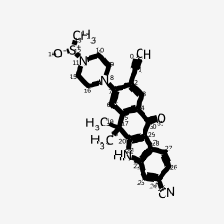 C#Cc1cc2c(cc1N1CCN([S+](C)[O-])CC1)C(C)(C)c1[nH]c3cc(C#N)ccc3c1C2=O